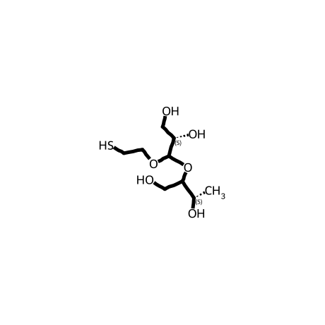 C[C@H](O)C(CO)OC(OCCS)[C@@H](O)CO